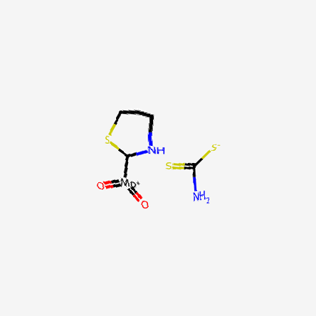 NC(=S)[S-].[O]=[Mo+](=[O])[CH]1NCCS1